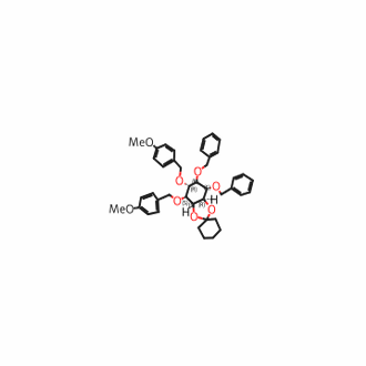 COc1ccc(CO[C@@H]2[C@@H](OCc3ccccc3)[C@H](OCc3ccccc3)[C@H]3OC4(CCCCC4)O[C@H]3[C@H]2OCc2ccc(OC)cc2)cc1